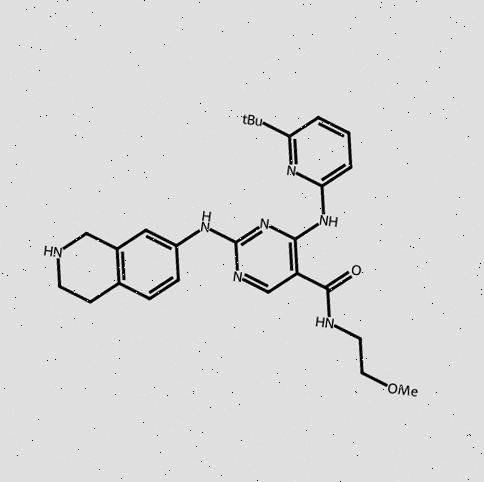 COCCNC(=O)c1cnc(Nc2ccc3c(c2)CNCC3)nc1Nc1cccc(C(C)(C)C)n1